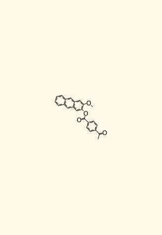 COc1cc2cc3ccccc3cc2cc1OC(=O)c1ccc(C(C)=O)cc1